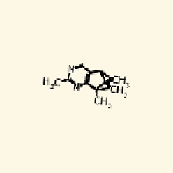 Cc1ncc2c(n1)C1(C)CCC2C1(C)C